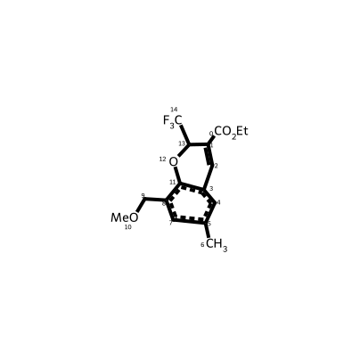 CCOC(=O)C1=Cc2cc(C)cc(COC)c2OC1C(F)(F)F